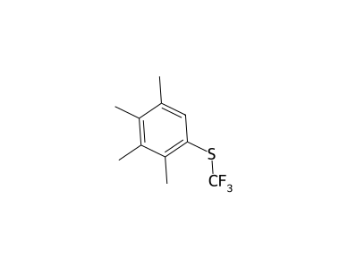 Cc1cc(SC(F)(F)F)c(C)c(C)c1C